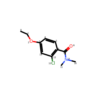 CCOc1ccc(C(=O)N(C)C)c(Cl)c1